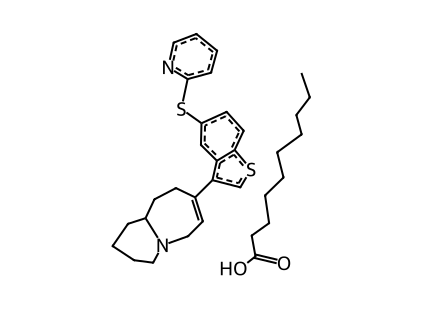 C1=C(c2csc3ccc(Sc4ccccn4)cc23)CCC2CCCCN2C1.CCCCCCCCCC(=O)O